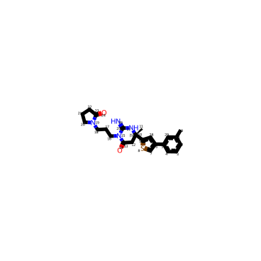 Cc1cccc(-c2csc([C@]3(C)CC(=O)N(CCCN4CCCC4=O)C(=N)N3)c2)c1